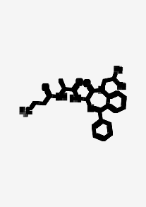 CCC(CC)CN1C(=O)C(NC(=O)[C@H](C)NC(=O)CCC(F)(F)F)N=C(c2ccccc2)c2ccccc21